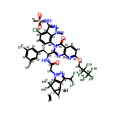 C=C[C@@]12C[C@@H]1c1c(C(F)F)nn(CC(=O)N[C@@H](Cc3cc(F)cc(F)c3)c3nc4nc(OCC(F)(F)C(F)(F)F)ccc4c(=O)n3-c3ccc(Cl)c4c(NS(C)(=O)=O)nn(C)c34)c1C2(F)F